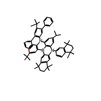 CC(C)c1cc2c3c(c1)N(c1cc(-c4ccccc4)c(C(C)(C)C)cc1-c1ccccc1)c1ccc(C(C)(C)C)cc1B3c1cc3c(cc1N2c1ccc2c(c1)C(C)(C)CCC2(C)C)C(C)(C)CCC3(C)C